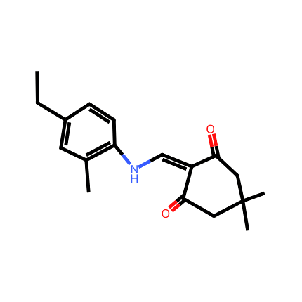 CCc1ccc(NC=C2C(=O)CC(C)(C)CC2=O)c(C)c1